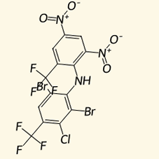 O=[N+]([O-])c1cc([N+](=O)[O-])c(Nc2c(Br)cc(C(F)(F)F)c(Cl)c2Br)c(C(F)(F)F)c1